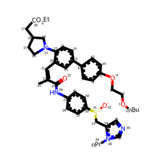 CCCCOCCOc1ccc(-c2ccc(N3CCC(CC(=O)OCC)C3)c(C=C(C)C(=O)Nc3ccc([S@@+]([O-])Cc4cncn4CCC)cc3)c2)cc1